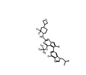 [2H]C([2H])([2H])Oc1nc(N[C@@H]2CCN(C3COC3)CC2(F)F)nn2cc(F)c(-c3cc(F)c4ncn(CC(F)F)c4c3)c12